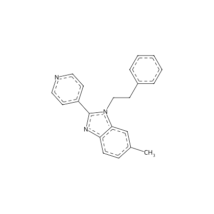 Cc1ccc2nc(-c3ccncc3)n(CCc3ccccc3)c2c1